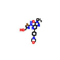 Cn1cnc2cc(-c3ccc(N4CCOCC4)cc3)nc(Nc3nc(CO)cs3)c2c1=O